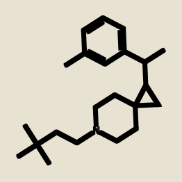 Cc1cccc(C(C)C2CC23CCN(CCC(C)(C)C)CC3)c1